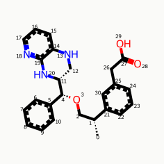 C[C@H](CO[C@H](c1ccccc1)[C@H]1CNc2cccnc2N1)c1cccc(CC(=O)O)c1